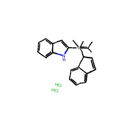 C[C](C)=[Ti]([CH3])([CH3])([c]1cc2ccccc2[nH]1)[CH]1C=Cc2ccccc21.Cl.Cl